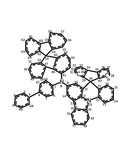 c1ccc(-c2ccc(N(c3cc4c5c(c3)c3ccccc3n5-c3ccccc3C43c4ccccc4-c4ccccc43)c3cccc4c3-c3ccccc3C43c4ccccc4-c4ccccc43)cc2)cc1